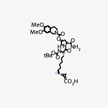 COc1cc2c(cc1OC)CN(C(=O)O[C@@H]1C[C@@H](C(N)=O)N(C(=O)[C@H](CCCCC/C=C\[C@@H]3C[C@@H]3C(=O)O)NC(=O)OC(C)(C)C)C1)CC2